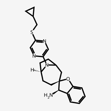 N[C@@H]1c2ccccc2O[C@]12CC[C@H]1CCC(C2)N1c1cnc(SCC2CC2)cn1